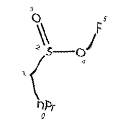 CCCCS(=O)OF